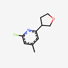 Cc1cc(F)nc(C2CCOC2)c1